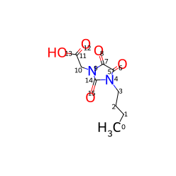 CCCCN1C(=O)C(=O)N(CC(=O)O)C1=O